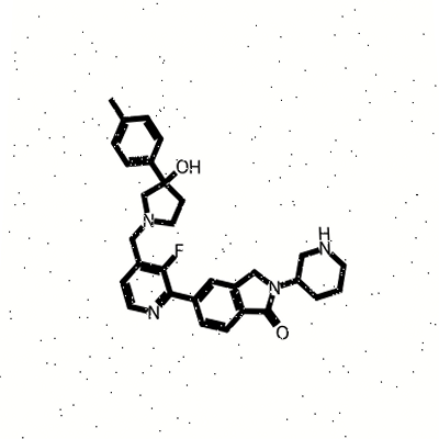 Cc1ccc(C2(O)CCN(Cc3ccnc(-c4ccc5c(c4)CN(C4CCCNC4)C5=O)c3F)C2)cc1